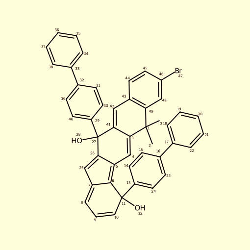 CC1(C)C2=CC3=C4C(=CC=CC4(O)c4ccc(-c5ccccc5)cc4)C=C3C(O)(c3ccc(-c4ccccc4)cc3)C2=Cc2ccc(Br)cc21